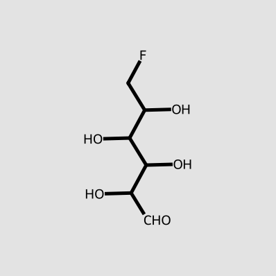 O=CC(O)C(O)C(O)C(O)CF